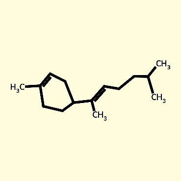 CC1=CCC(C(C)=CCCC(C)C)CC1